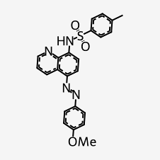 COc1ccc(N=Nc2ccc(NS(=O)(=O)c3ccc(C)cc3)c3ncccc23)cc1